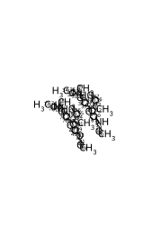 COCCNc1ccc2c(c1)C(C)=C(c1cccc(O)c1)C(c1ccc(OC[C@H](C)N3CC[C@@H](C)C3)cc1)O2.COCCOc1ccc2c(c1)C(C)=C(c1cccc(O)c1)C(c1ccc(OC[C@H](C)N3CC[C@@H](C)C3)cc1)O2